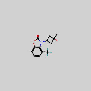 CC1(O)CC(n2c(=O)oc3cccc(C(F)(F)F)c32)C1